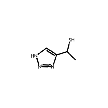 CC(S)c1c[nH]nn1